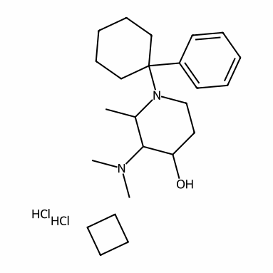 C1CCC1.CC1C(N(C)C)C(O)CCN1C1(c2ccccc2)CCCCC1.Cl.Cl